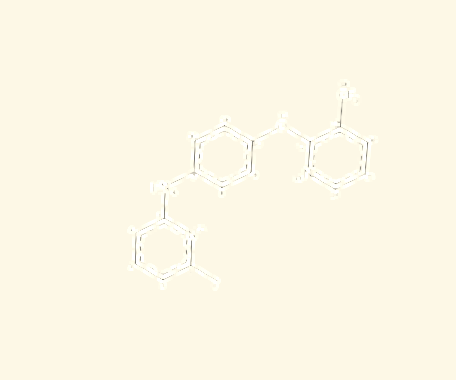 Cc1cccc(Nc2ccc(Oc3ncccc3C(F)(F)F)cc2)n1